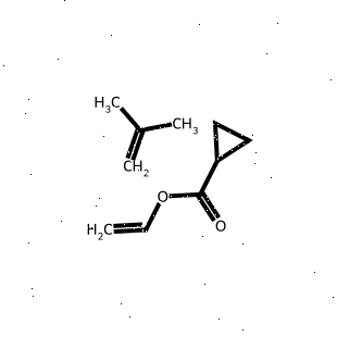 C=C(C)C.C=COC(=O)C1CC1